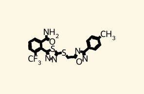 Cc1ccc(-c2noc(CSc3nnc(-c4c(C(N)=O)cccc4C(F)(F)F)s3)n2)cc1